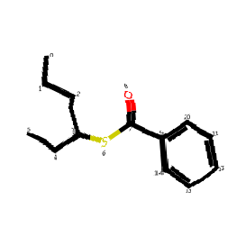 CCCC(CC)SC(=O)c1ccccc1